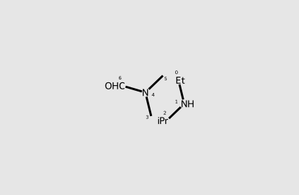 CCNC(C)C.CN(C)C=O